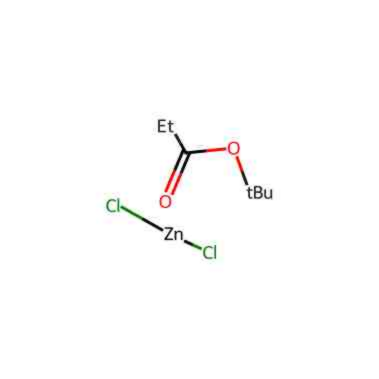 [CH2]CC(=O)OC(C)(C)C.[Cl][Zn][Cl]